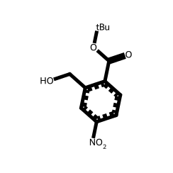 CC(C)(C)OC(=O)c1ccc([N+](=O)[O-])cc1CO